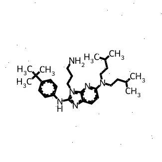 CC(C)CCN(CCC(C)C)c1ccc2nc(Nc3ccc(C(C)(C)C)cc3)n(CCCN)c2n1